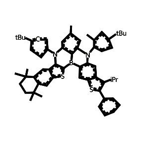 Cc1cc2c3c(c1)N(c1ccc(C(C)(C)C)cc1)c1c(sc4cc5c(cc14)C(C)(C)CCC5(C)C)B3c1cc3sc(-c4ccccc4)c(C(C)C)c3cc1N2c1ccc(C(C)(C)C)cc1C